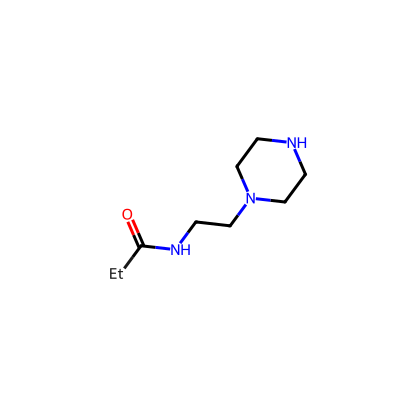 CCC(=O)NCCN1CCNCC1